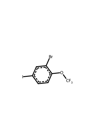 FC(F)(F)Oc1ccc(I)cc1Br